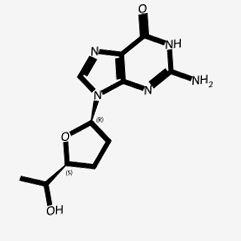 CC(O)[C@@H]1CC[C@H](n2cnc3c(=O)[nH]c(N)nc32)O1